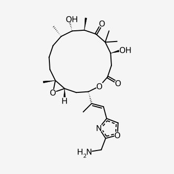 CC(=Cc1coc(CN)n1)[C@@H]1C[C@@H]2O[C@]2(C)CCC[C@H](C)[C@H](O)[C@@H](C)C(=O)C(C)(C)[C@@H](O)CC(=O)O1